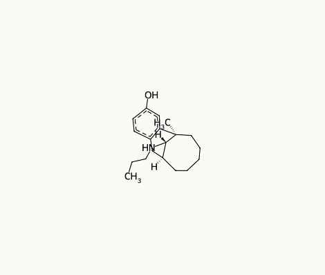 CCCN[C@H]1[C@H]2CCCCC[C@]1(C)c1cc(O)ccc1C2